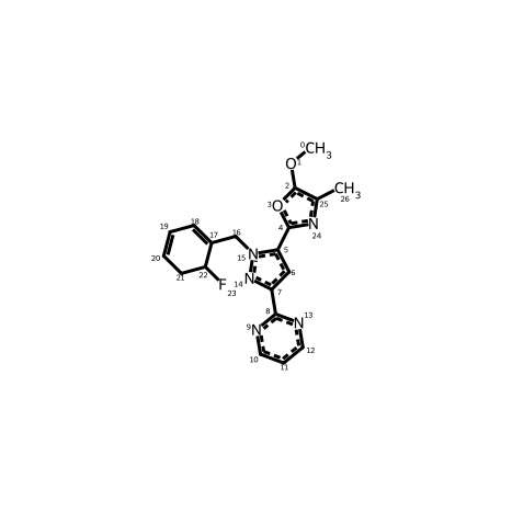 COc1oc(-c2cc(-c3ncccn3)nn2CC2=CC=CCC2F)nc1C